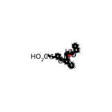 O=C(O)CCSCc1cccc(C(=O)Nc2ccc(N3CCCCC3)cc2-c2cc(C(=O)NC3CCCc4ccccc43)ccn2)c1